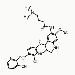 CCOc1cc2c(cc1NC(=O)CCCN(C)C)C(Nc1ccc(OCc3ncccc3C#N)c(Cl)c1)C(C#N)CN2